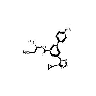 Cc1ccc(-c2cc(C(=O)N[C@@H](C)CO)cc(-n3nnnc3C3CC3)c2)cc1